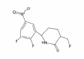 O=C1NC(c2cc([N+](=O)[O-])cc(F)c2F)CCC1CF